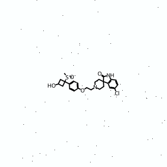 C[S+]([O-])C1(c2ccc(OCCN3CCC4(CC3)C(=O)Nc3ccc(Cl)cc34)cc2)CC(O)C1